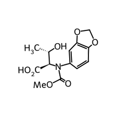 COC(=O)N(c1ccc2c(c1)OCO2)[C@@H](C(=O)O)[C@H](C)O